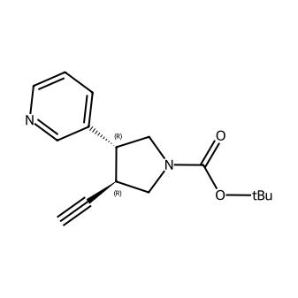 C#C[C@@H]1CN(C(=O)OC(C)(C)C)C[C@H]1c1cccnc1